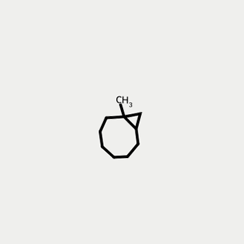 CC12CCCCCCC1C2